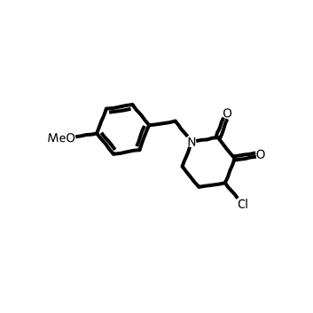 COc1ccc(CN2CCC(Cl)C(=O)C2=O)cc1